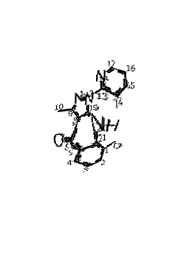 Cc1cccc2c(=O)c3c(C)nn(-c4ccccn4)c3[nH]c12